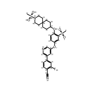 CS(=O)(=O)c1cc(Oc2cncc(-c3ccc(C#N)c(F)c3)c2)ccc1OC1CCC2(CC1)CCN(S(C)(=O)=O)CC2